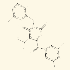 Cc1cc(C)cc(C(=O)c2[nH]c(=O)n(Cc3cccc(Cl)n3)c(=O)c2C(C)C)c1